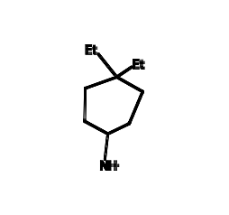 CCC1(CC)CCC([NH])CC1